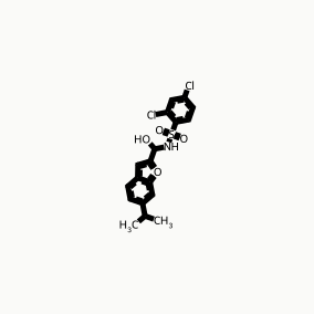 CC(C)c1ccc2cc(C(O)NS(=O)(=O)c3ccc(Cl)cc3Cl)oc2c1